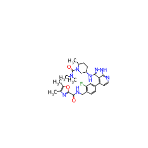 Cc1nc(C(=O)NCc2ccc(-c3ccnc4[nH]nc(N[C@@H]5CC[C@H](C)N(C(=O)N(C)C)C5)c34)cc2F)oc1C